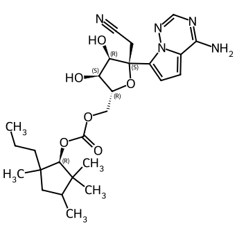 CCCC1(C)CC(C)C(C)(C)[C@@H]1OC(=O)OC[C@H]1O[C@@](CC#N)(c2ccc3c(N)ncnn23)[C@H](O)[C@@H]1O